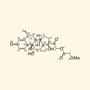 COCC(=O)OCC(=O)[C@@]1(O)CC[C@H]2[C@@H]3C[C@H](C)C4=CC(=O)C=C[C@]4(C)[C@H]3[C@@H](O)C[C@@]21C